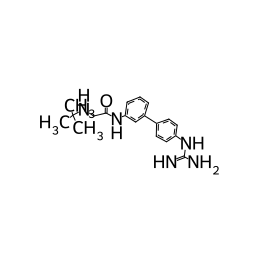 CC(C)(C)NCC(=O)Nc1cccc(-c2ccc(NC(=N)N)cc2)c1